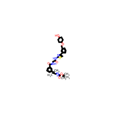 CC(C)(C)OC(=O)NCC(C)(C)c1cccc(C(=O)NCC(=O)Nc2nc(-c3cccc(COC4CCC(O)CC4)c3)cs2)c1